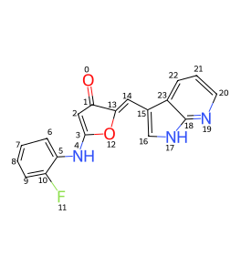 O=C1C=C(Nc2ccccc2F)OC1=Cc1c[nH]c2ncccc12